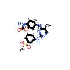 Cc1cnc(Nc2cccc(S(C)(=O)=O)c2)nc1Nc1ccc2[nH]c(=O)oc2c1